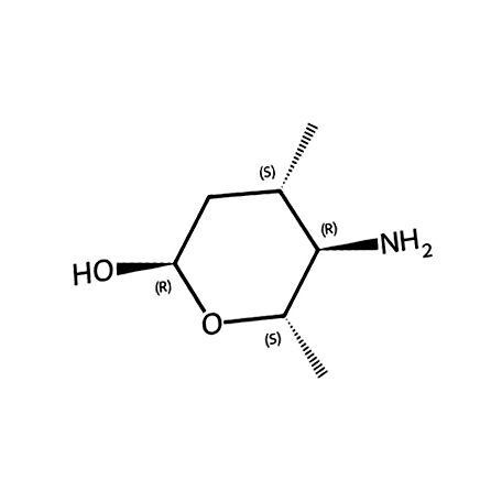 C[C@@H]1O[C@@H](O)C[C@H](C)[C@H]1N